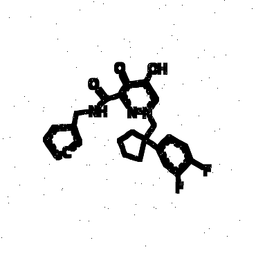 O=C(NCc1ccccc1)c1nn(CC2(c3ccc(F)c(F)c3)CCCC2)cc(O)c1=O